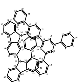 c1ccc(-c2nc(-c3ccccc3)nc(-c3ccc(-c4ccccc4)c(-n4c5ccccc5c5ccc(-n6c7ccccc7c7cccc(-c8ccccc8)c76)cc54)c3)n2)cc1